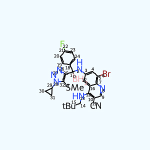 BC(Nc1cc(Br)c2ncc(C#N)c(NCC(C)(C)C)c2c1)(c1ccc(F)cc1)c1nnn(C2CC2)c1SC